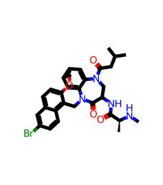 CN[C@@H](C)C(=O)NC1CN(C(=O)CC(C)C)c2ccccc2N(Cc2c(OC)ccc3cc(Br)ccc23)C1=O